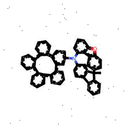 CC1(C)c2ccccc2-c2ccc(N(c3ccc4c5ccccc5c5ccccc5c5ccccc5c5ccccc5c4c3)c3cccc4oc5ccccc5c34)cc21